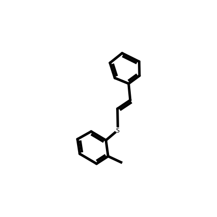 Cc1ccccc1S/C=C/c1ccccc1